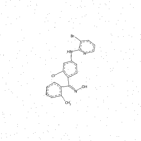 Cc1ccccc1C(=NO)c1ccc(Nc2ncccc2Br)cc1Cl